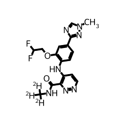 [2H]C([2H])([2H])NC(=O)c1nnccc1Nc1ccc(-c2ncn(C)n2)cc1OCC(F)F